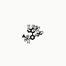 [2H]C([2H])([2H])n1cc(-c2cc(NS(=O)(=O)C3CC3)ccc2N2CC3(COC3)C2)c2cc[nH]c2c1=O